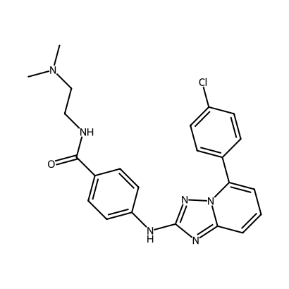 CN(C)CCNC(=O)c1ccc(Nc2nc3cccc(-c4ccc(Cl)cc4)n3n2)cc1